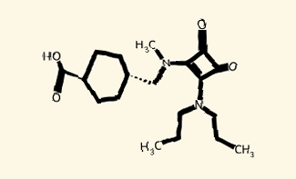 CCCN(CCC)c1c(N(C)C[C@H]2CC[C@H](C(=O)O)CC2)c(=O)c1=O